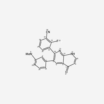 CNc1cc(-c2cc3c(=O)cc[nH]c3nc2-c2cccc(C#N)c2F)ccn1